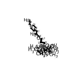 CC(C)(C)[Si](C)(C)O[Si](C)(CCCOCC(O)CN1CCN(CCO)CC1)O[Si](C)(C)C(C)(C)C